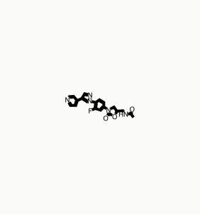 CC(=O)NCC1CN(c2ccc(-n3cc(-c4ccncc4)cn3)c(F)c2)C(=O)O1